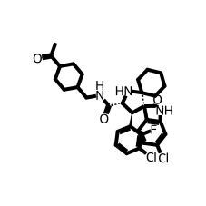 CC(=O)C1CCC(CNC(=O)[C@@H]2NC3(CCCCC3)[C@@]3(C(=O)Nc4cc(Cl)ccc43)[C@H]2c2cccc(Cl)c2F)CC1